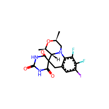 C[C@H]1CN2c3c(cc(I)c(F)c3F)CC3(C(=O)NC(=O)NC3=O)[C@@H]2[C@@H](C)O1